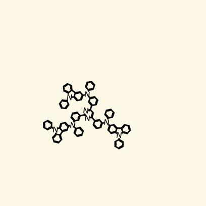 c1ccc(N(c2cccc(-c3cc(-c4cccc(N(c5ccccc5)c5ccc6c(c5)c5ccccc5n6-c5ccccc5)c4)nc(-c4cccc(N(c5ccccc5)c5ccc6c(c5)c5ccccc5n6-c5ccccc5)c4)n3)c2)c2ccc3c(c2)c2ccccc2n3-c2ccccc2)cc1